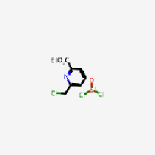 CCOC(=O)c1cccc(CCl)n1.[O-][S+](Cl)Cl